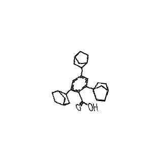 O=C(O)c1c(C2CC3CCC2C3)cc(C2CC3CCC2C3)cc1C12CCC(CC1)C2